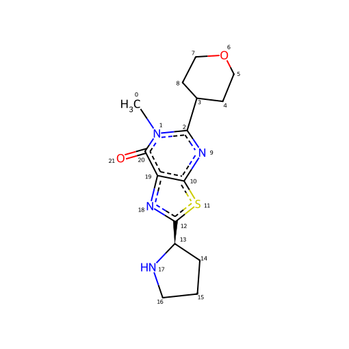 Cn1c(C2CCOCC2)nc2sc([C@H]3CCCN3)nc2c1=O